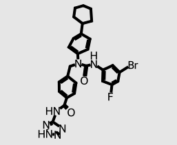 O=C(Nc1nn[nH]n1)c1ccc(CN(C(=O)Nc2cc(F)cc(Br)c2)c2ccc(C3CCCCC3)cc2)cc1